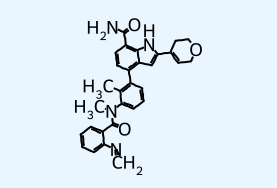 C=Nc1ccccc1C(=O)N(C)c1cccc(-c2ccc(C(N)=O)c3[nH]c(C4=CCOCC4)cc23)c1C